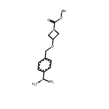 C[C@H](N)c1ccc(COC2CN(C(=O)OC(C)(C)C)C2)cc1